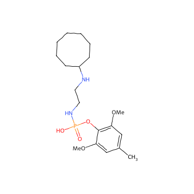 COc1cc(C)cc(OC)c1OP(=O)(O)NCCNC1CCCCCCC1